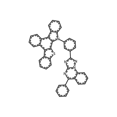 c1ccc(-c2nc3nc(-c4cccc(-n5c6ccccc6c6c7ccccc7c7c8ccccc8sc7c65)c4)nn3c3ccccc23)cc1